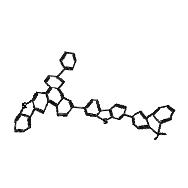 CC1(C)c2ccccc2-c2cc(-c3ccc4c(c3)sc3cc(-c5ccc6c(c5)c5cc(-c7ccccc7)ccc5c5cc7sc8ccccc8c7cc65)ccc34)ccc21